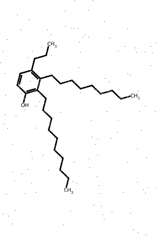 CCCCCCCCCCc1c(O)ccc(CCC)c1CCCCCCCCC